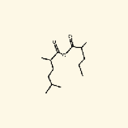 CCCC(C)C(=O)OC(=O)C(C)CCC(C)C